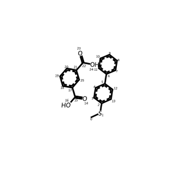 CSc1ccc(-c2ccccc2)cc1.O=C(O)c1cccc(C(=O)O)c1